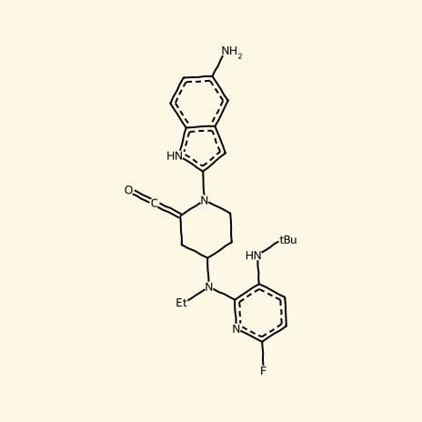 CCN(c1nc(F)ccc1NC(C)(C)C)C1CCN(c2cc3cc(N)ccc3[nH]2)C(=C=O)C1